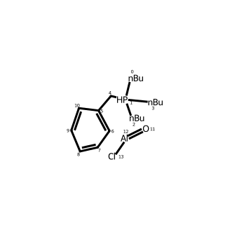 CCCC[PH](CCCC)(CCCC)Cc1ccccc1.[O]=[Al][Cl]